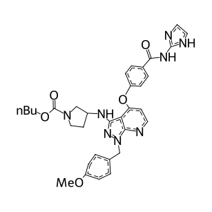 CCCCOC(=O)N1CCC(Nc2nn(Cc3ccc(OC)cc3)c3nccc(Oc4ccc(C(=O)Nc5ncc[nH]5)cc4)c23)C1